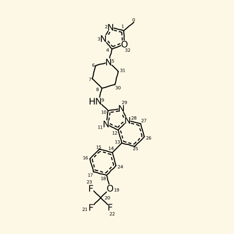 Cc1nnc(N2CCC(Nc3nc4c(-c5cccc(OC(F)(F)F)c5)cccn4n3)CC2)o1